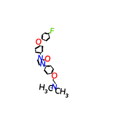 CN(C)CCOc1ccc(-n2ccn(-c3ccc(Oc4ccc(F)cc4)cc3)c2=O)cc1